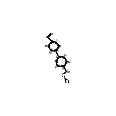 C=Cc1ccc(-c2ccc(COCC)cc2)cc1